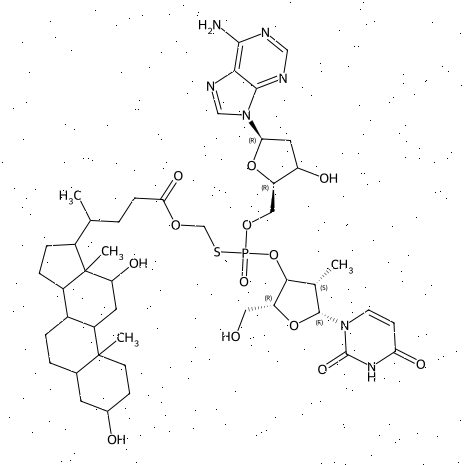 CC(CCC(=O)OCSP(=O)(OC[C@H]1O[C@@H](n2cnc3c(N)ncnc32)CC1O)OC1[C@@H](CO)O[C@@H](n2ccc(=O)[nH]c2=O)[C@H]1C)C1CCC2C3CCC4CC(O)CCC4(C)C3CC(O)C12C